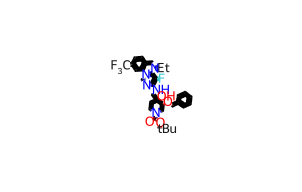 CCN(Cc1ccc(C(F)(F)F)cc1)c1ncnc(NCC2(O)CCN(C(=O)OC(C)(C)C)CC2OCc2ccccc2)c1F